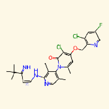 Cc1cnc(N/C=C\C(=N)C(C)(C)C)c(C)c1-n1c(C)cc(OCc2ncc(F)cc2Cl)c(Cl)c1=O